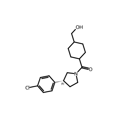 O=C(C1CCC(CO)CC1)N1CC[C@H](c2ccc(Cl)cc2)C1